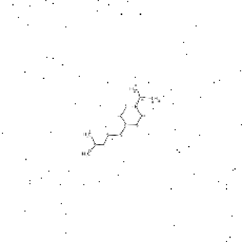 CC(C)CCCC1CCN(C(C)C)CC1